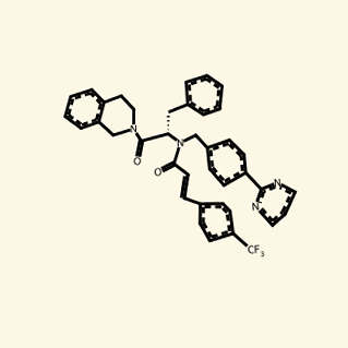 O=C([C@H](Cc1ccccc1)N(Cc1ccc(-c2ncccn2)cc1)C(=O)/C=C/c1ccc(C(F)(F)F)cc1)N1CCc2ccccc2C1